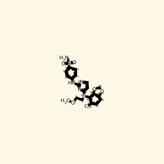 COCCN(c1ccnc(Nc2ccc(S(N)(=O)=O)cc2)n1)c1c(Cl)ccc2c1OCO2